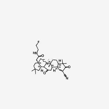 CC1(C)CC[C@]2(CC(=O)NCCF)CC[C@]3(C)C(C(=O)C[C@@H]4[C@@]5(C)C=C(C#N)C(=O)C(C)(C)[C@@H]5CC[C@]43C)[C@H]2C1